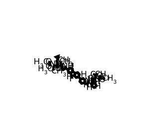 COC(=O)N[C@H](C(=O)N1[C@@H]2CC[C@@H](C2)[C@H]1c1nc2ccc(-c3ccc4c(c3)C(F)(F)c3cc(-c5cnc([C@H](C)N(CC6(C)CC6)C(=O)[C@H](NC(=O)OC)C(C)C)[nH]5)ccc3-4)cc2[nH]1)C(C)C